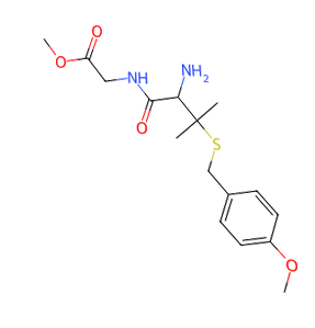 COC(=O)CNC(=O)C(N)C(C)(C)SCc1ccc(OC)cc1